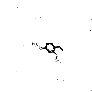 COc1ccc(CI)c(OC)c1